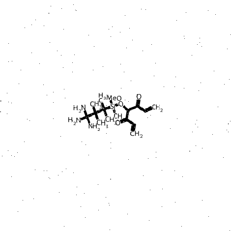 C=CC(=O)C(O[Si](C)(OC)C(C)(C)C(C)(C)C(N)(N)N)C(=O)C=C